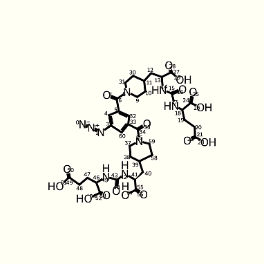 [N-]=[N+]=Nc1cc(C(=O)N2CCC(CC(NC(=O)NC(CCC(=O)O)C(=O)O)C(=O)O)CC2)cc(C(=O)N2CCC(C[C@H](NC(=O)NC(CCC(=O)O)C(=O)O)C(=O)O)CC2)c1